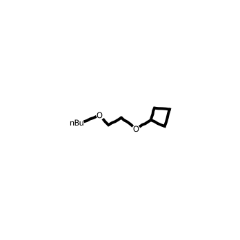 CCCCOCCOC1CCC1